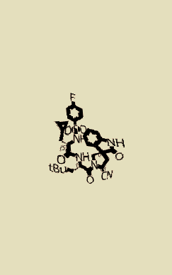 CC(C)(C)C[C@H](NC(=O)[C@H](CC1CC1)NS(=O)(=O)c1ccc(F)cc1)C(=O)N1C[C@]2(C[C@H]1C#N)C(=O)Nc1ccccc12